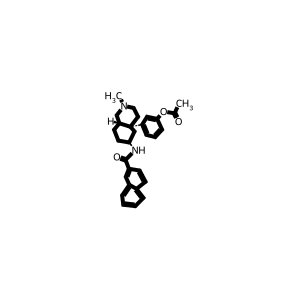 CC(=O)Oc1cccc([C@@]23CCN(C)C[C@H]2CC[C@@H](NC(=O)c2ccc4ccccc4c2)C3)c1